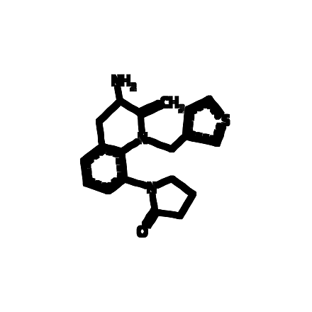 C=C1C(N)Cc2cccc(N3CCCC3=O)c2N1Cc1ccsc1